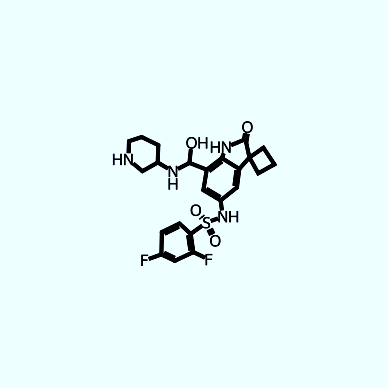 O=C1Nc2c(C(O)NC3CCCNC3)cc(NS(=O)(=O)c3ccc(F)cc3F)cc2C12CCC2